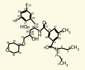 CCCN(CCC)C(=O)c1cc(C)cc(C(=O)N[C@@H](Cc2cc(F)cc(F)c2)[C@@H](O)C(O)COC2CCOCC2)c1